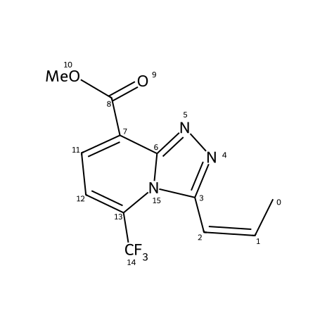 C/C=C\c1nnc2c(C(=O)OC)ccc(C(F)(F)F)n12